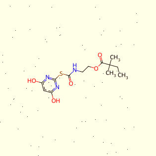 CCC(C)(C)C(=O)OCCNC(=O)Sc1nc(O)cc(O)n1